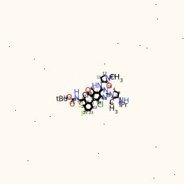 CC(C)N[C@H]1CCN(c2nc(N[C@@H]3CCN(C)C3=O)c3c4c(c(-c5ccc(F)c6sc(NC(=O)OC(C)(C)C)c(C#N)c56)c(Cl)c3n2)COC4)[C@H]1C